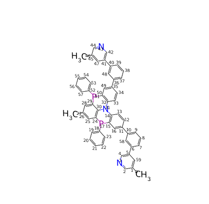 Cc1cncc(-c2cccc(-c3ccc4c(c3)P(c3ccccc3)c3cc(C)cc5c3N4c3ccc(-c4cccc(-c6cncc(C)c6)c4)cc3P5c3ccccc3)c2)c1